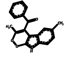 CC1=C(C(=O)c2ccccc2)c2c([nH]c3ccc(C)cc23)OO1